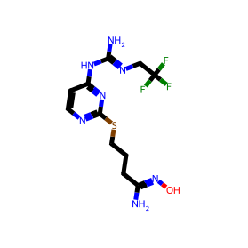 NC(CCCSc1nccc(NC(N)=NCC(F)(F)F)n1)=NO